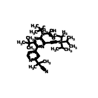 CC(C)[Si](C#Cc1nc(-c2ccnc(C(C)(C)C#N)c2)c(C(C)(C)C)nc1N(C(=O)O)C(C)(C)C)(C(C)C)C(C)C